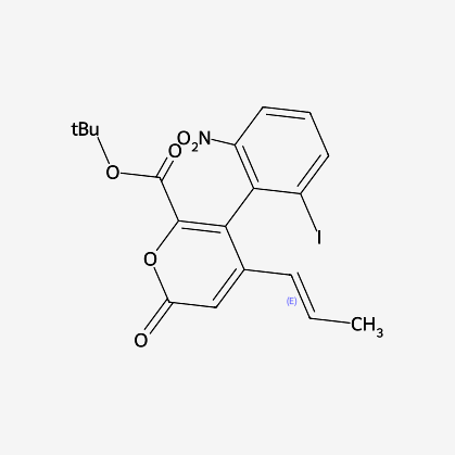 C/C=C/c1cc(=O)oc(C(=O)OC(C)(C)C)c1-c1c(I)cccc1[N+](=O)[O-]